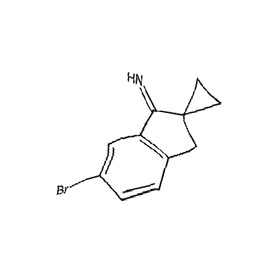 N=C1c2cc(Br)ccc2CC12CC2